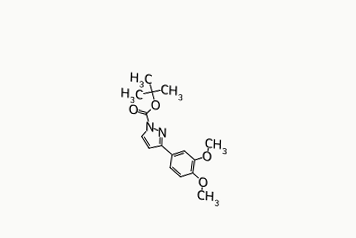 COc1ccc(-c2ccn(C(=O)OC(C)(C)C)n2)cc1OC